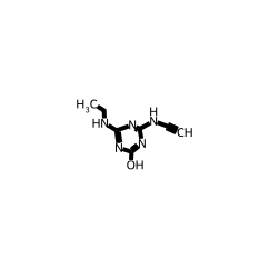 C#CNc1nc(O)nc(NCC)n1